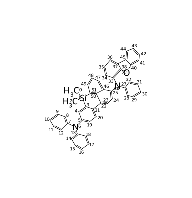 C[Si]1(C)c2cc(N(c3ccccc3)c3ccccc3)ccc2-c2ccc(N(c3ccccc3)c3cccc4c3oc3ccccc34)c3cccc1c23